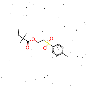 CCC(C)(C)C(=O)OCCS(=O)(=O)c1ccc(C)cc1